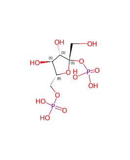 O=P(O)(O)OC[C@H]1O[C@@](CO)(OP(=O)(O)O)[C@@H](O)[C@@H]1O